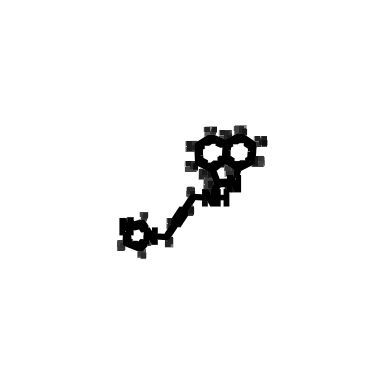 C(#CCn1ccnc1)CNC1=Nc2cccc3cccc1c23